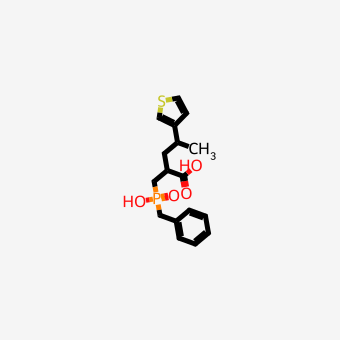 CC(CC(CP(=O)(O)Cc1ccccc1)C(=O)O)c1ccsc1